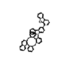 c1ccc2c(c1)Cc1ccc3ccccc3c1-c1ccccc1Cc1cccc(-n3c4ccccc4c4cc(-c5cccc6c5oc5ccccc56)ccc43)c1-2